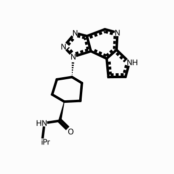 CC(C)NC(=O)[C@H]1CC[C@H](n2nnc3cnc4[nH]ccc4c32)CC1